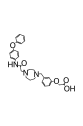 O=C(O)COc1cccc(CN2CCCN(CC(=O)Nc3ccc(Oc4ccccc4)cc3)CC2)c1